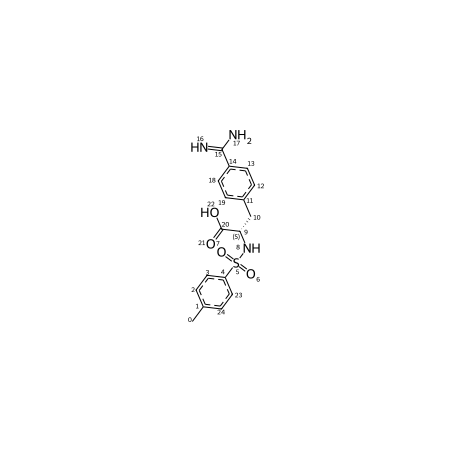 Cc1ccc(S(=O)(=O)N[C@@H](Cc2ccc(C(=N)N)cc2)C(=O)O)cc1